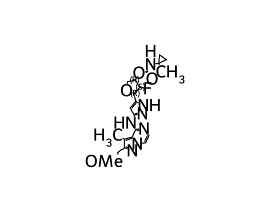 COCc1nn2ccnc(Nc3cc([C@H]4OC[C@@H](OC(=O)NC5(C)CC5)[C@H]4F)[nH]n3)c2c1C